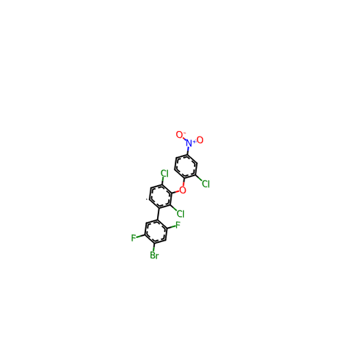 O=[N+]([O-])c1ccc(Oc2c(Cl)c[c]c(-c3cc(F)c(Br)cc3F)c2Cl)c(Cl)c1